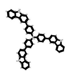 c1ccc2c(c1)oc1ccc(-c3ccc(N(c4ccc(-c5ccc6oc7ccccc7c6c5)cc4)c4ccc(-c5ccc6sc7ccccc7c6c5)cc4)cc3)cc12